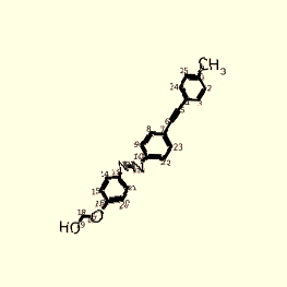 Cc1ccc(C#Cc2ccc(N=Nc3ccc(OCO)cc3)cc2)cc1